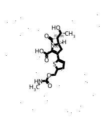 CNC(=O)OCC1CC=C(C2=C(C(=O)O)N3C(=O)[C@H]([C@@H](C)O)[C@H]3C2)S1